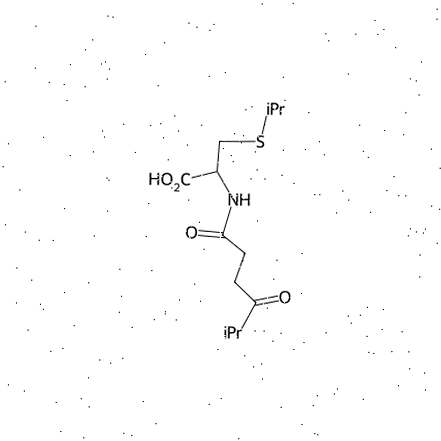 CC(C)SCC(NC(=O)CCC(=O)C(C)C)C(=O)O